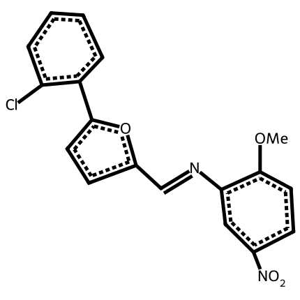 COc1ccc([N+](=O)[O-])cc1N=Cc1ccc(-c2ccccc2Cl)o1